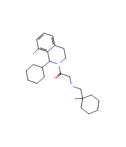 O=C(CNCC1(O)CCCCC1)N1CCc2cccc(F)c2C1C1CCCCC1